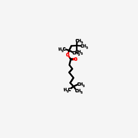 CC(C)(C)CCCCCC(=O)OC(C)(C)CC(C)(C)C